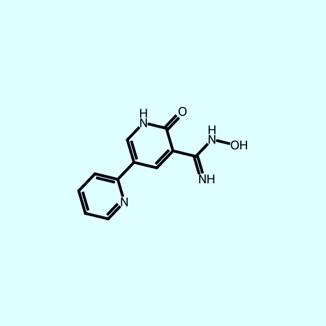 N=C(NO)c1cc(-c2ccccn2)c[nH]c1=O